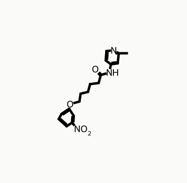 Cc1cc(NC(=O)CCCCCOc2cccc([N+](=O)[O-])c2)ccn1